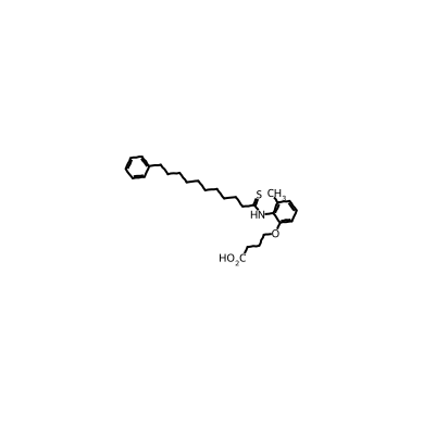 Cc1cccc(OCCCC(=O)O)c1NC(=S)CCCCCCCCCCc1ccccc1